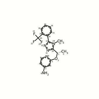 C[C@H](Oc1cc(N)ccn1)c1nnc(-c2ccccc2C(F)(F)F)n1C